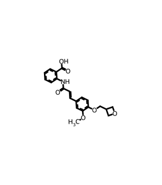 COc1cc(/C=C/C(=O)Nc2ccccc2C(=O)O)ccc1OCC1COC1